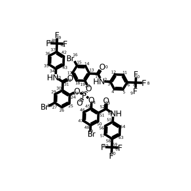 O=C(Nc1ccc(C(F)(F)F)cc1)c1cc(Br)ccc1OP(=O)(Oc1ccc(Br)cc1C(=O)Nc1ccc(C(F)(F)F)cc1)Oc1ccc(Br)cc1C(=O)Nc1ccc(C(F)(F)F)cc1